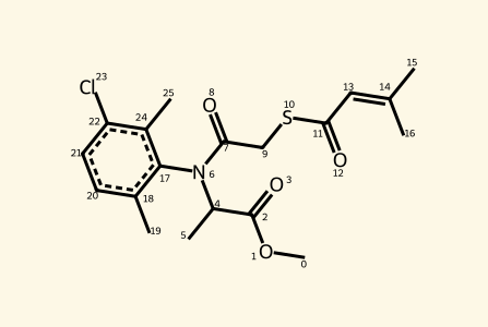 COC(=O)C(C)N(C(=O)CSC(=O)C=C(C)C)c1c(C)ccc(Cl)c1C